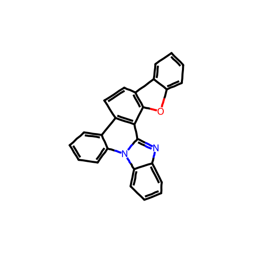 c1ccc2c(c1)nc1c3c(ccc4c5ccccc5oc43)c3ccccc3n21